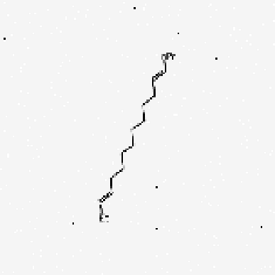 [CH2]CC/C=C/CCCCCCCC/C=C/CC